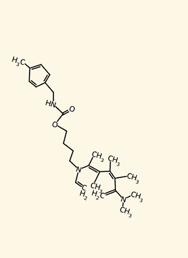 C=CN(CCCCOC(=O)NCc1ccc(C)cc1)/C(C)=C(C)/C(C)=C(/C)C(=C)N(C)C